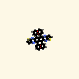 c1ccc(-c2c3nc4ccsc4nc3c(-c3ccccc3)c3c(-c4ccccc4)c4nc5ccsc5nc4c(-c4ccccc4)c23)cc1